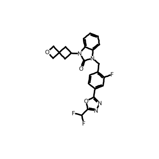 O=c1n(Cc2ccc(-c3nnc(C(F)F)o3)cc2F)c2ccccc2n1C1CC2(COC2)C1